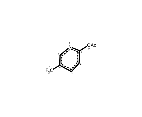 CC(=O)Oc1ccc(C(F)(F)F)cn1